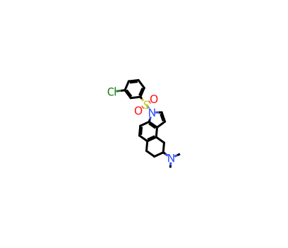 CN(C)C1CCc2ccc3c(ccn3S(=O)(=O)c3cccc(Cl)c3)c2C1